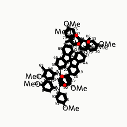 COc1ccc(N(c2ccc(OC)cc2)c2ccc(-c3ccc4c(c3)C3(c5cc(N(c6ccc(OC)cc6)c6ccc(OC)c(C)c6)ccc5-4)c4cc(N(c5ccc(OC)cc5)c5ccc(OC)c(C)c5)ccc4-c4ccc(N(c5ccc(OC)cc5)c5ccc(OC)c(C)c5)cc43)cc2)cc1